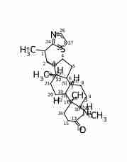 CC(C[C@H]1CC[C@H]2[C@@H]3CC[C@H]4N(C)C(=O)CC[C@]4(C)[C@H]3CC[C@]12C)c1nccs1